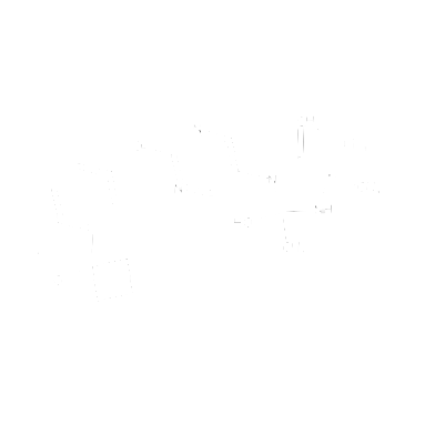 C=C1N(c2cnc(Oc3ccc4c(c3)C3(CCC3)OC4)nc2)C(C)(O)NC1(C)C